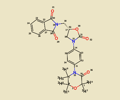 [2H]C1([2H])OC([2H])([2H])C([2H])([2H])N(c2ccc(N3C[C@H](CN4C(=O)c5ccccc5C4=O)OC3=O)cc2)C1=O